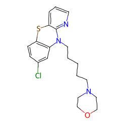 Clc1ccc2c(c1)N(CCCCCN1CCOCC1)c1ncccc1S2